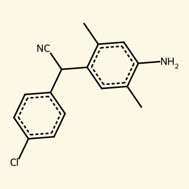 Cc1cc(C(C#N)c2ccc(Cl)cc2)c(C)cc1N